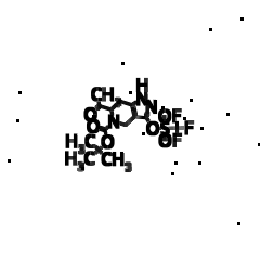 CC(=O)C1Cc2[nH]nc(OS(=O)(=O)C(F)(F)F)c2CN1C(=O)OC(C)(C)C